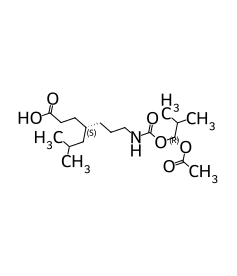 CC(=O)O[C@H](OC(=O)NCCC[C@@H](CCC(=O)O)CC(C)C)C(C)C